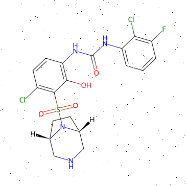 O=C(Nc1ccc(Cl)c(S(=O)(=O)N2[C@@H]3CC[C@H]2CNC3)c1O)Nc1cccc(F)c1Cl